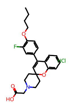 CCCCOc1ccc(C2=CC3(CCN(CC(=O)O)CC3)Oc3ccccc32)cc1F.Cl